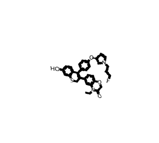 CCN1C(=O)COc2ccc(C3=C(c4ccc(O[C@H]5CCN(CCCF)C5)cc4)c4ccc(O)cc4SC3)cc21